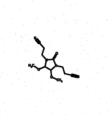 COC1C(OC)N(CCC#N)C(=O)N1CCC#N